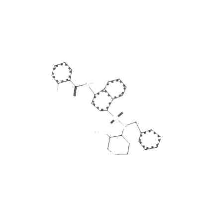 Cc1ccccc1C(=O)Nc1ccc(S(=O)(=O)N(Cc2ccccc2)C2CCNCC2C)c2ccccc12